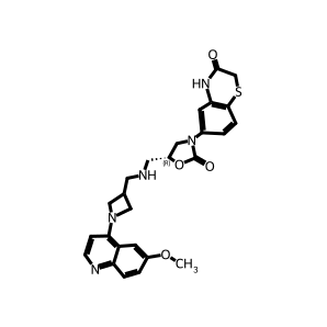 COc1ccc2nccc(N3CC(CNC[C@@H]4CN(c5ccc6c(c5)NC(=O)CS6)C(=O)O4)C3)c2c1